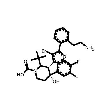 CC(C)(C)C1[C@H](c2onc(-c3ccccc3CCN)c2Br)[C@@](O)(c2ccc(F)c(F)c2)CCN1C(=O)O